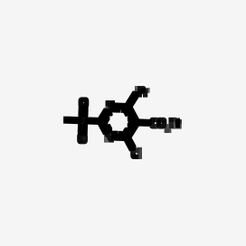 CCOC(=O)c1c(Cl)nc(S(C)(=O)=O)nc1C(C)C